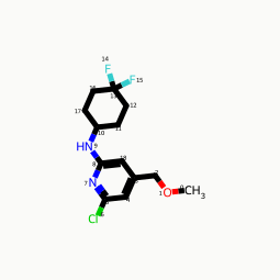 COCc1cc(Cl)nc(NC2CCC(F)(F)CC2)c1